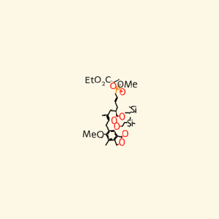 CCOC(=O)[C@H](C)OP(=O)(C/C=C/CC(C/C(C)=C/Cc1c(OC)c(C)c2c(c1OCC[Si](C)(C)C)C(=O)OC2)C(=O)OCC[Si](C)(C)C)OC